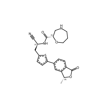 C[C@H]1OC(=O)c2ccc(-c3ccc(C[C@@H](C#N)NC(=O)[C@@H]4CNCCCO4)s3)cc21